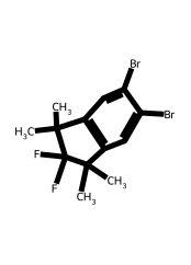 CC1(C)c2cc(Br)c(Br)cc2C(C)(C)C1(F)F